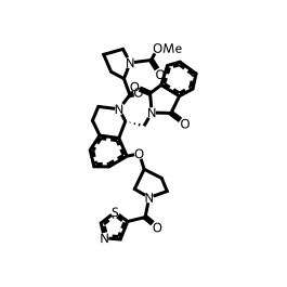 COC(=O)N1CCCC1C(=O)N1CCc2cccc(OC3CCN(C(=O)c4cncs4)C3)c2[C@H]1CN1C(=O)c2ccccc2C1=O